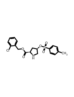 Cc1ccc(S(=O)(=O)O[C@H]2CN[C@@H](C(=O)OCc3ccccc3Cl)C2)cc1